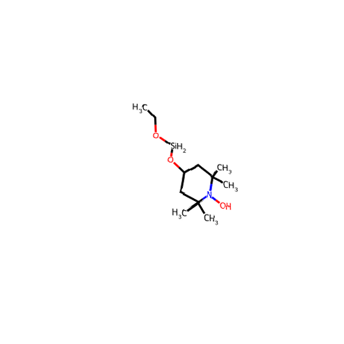 CCO[SiH2]OC1CC(C)(C)N(O)C(C)(C)C1